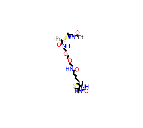 CCC(=O)NCC(C)(C)SSC(C(=O)NCCOCCOCCNC(=O)CCCC[C@H]1SC[C@H]2NC(=O)N[C@H]21)C(C)C